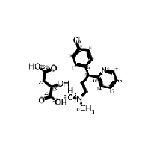 CN(C)CCC(c1ccc(Cl)cc1)c1ccccn1.O=C(O)CC(O)C(=O)O